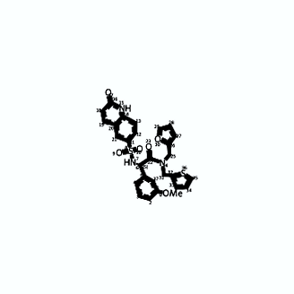 COc1cccc([C@H](NS(=O)(=O)c2ccc3[nH]c(=O)ccc3c2)C(=O)N(Cc2ccco2)Cc2cccs2)c1